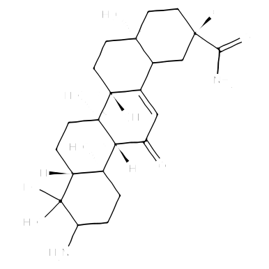 CC1(C)C(N)CC[C@]2(C)[C@H]3C(=O)C=C4C5C[C@@](C)(C(N)=O)CC[C@]5(C)CC[C@@]4(C)[C@]3(C)CC[C@@H]12